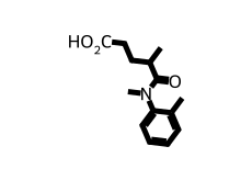 Cc1ccccc1N(C)C(=O)C(C)CCC(=O)O